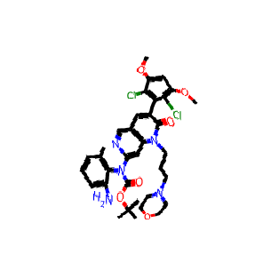 COc1cc(OC)c(Cl)c(-c2cc3cnc(N(C(=O)OC(C)(C)C)c4c(C)cccc4N)cc3n(CCCN3CCOCC3)c2=O)c1Cl